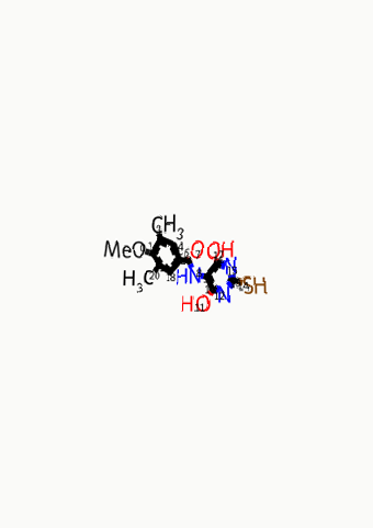 COc1c(C)cc(C(=O)Nc2c(O)nc(S)nc2O)cc1C